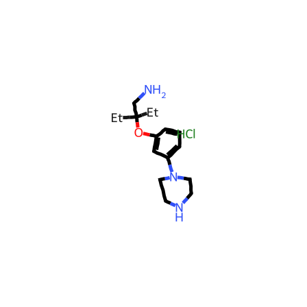 CCC(CC)(CN)Oc1cccc(N2CCNCC2)c1.Cl